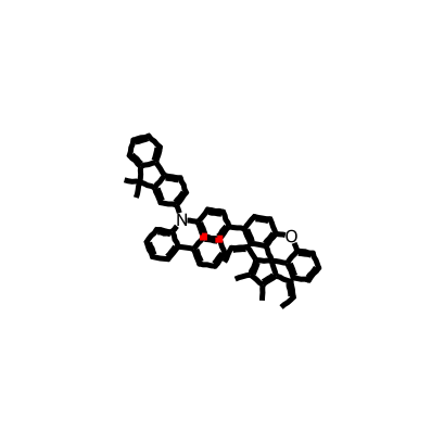 C/C=C\C1=C(C)C(C)=C(/C=C\C)C12c1ccccc1Oc1ccc(-c3ccc(N(c4ccc5c(c4)C(C)(C)c4ccccc4-5)c4ccccc4-c4ccccc4)cc3)cc12